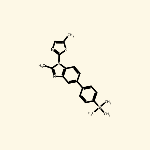 Cc1cnc(-n2c(C)nc3cc(-c4ccc([Si](C)(C)C)cc4)ccc32)s1